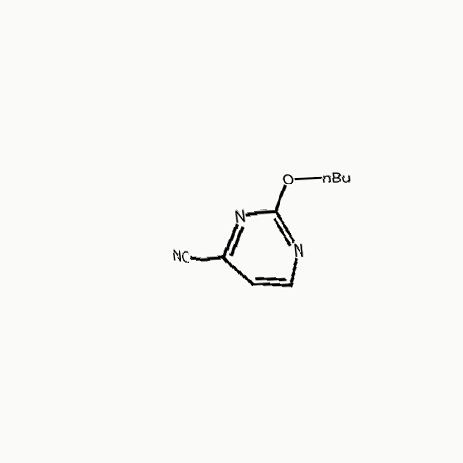 CCCCOc1nccc(C#N)n1